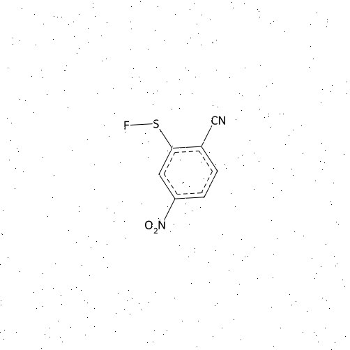 N#Cc1ccc([N+](=O)[O-])cc1SF